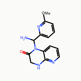 COc1cccc(C(N)N2C(=O)CNc3ncccc32)n1